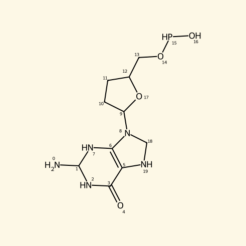 NC1NC(=O)C2=C(N1)N(C1CCC(COPO)O1)CN2